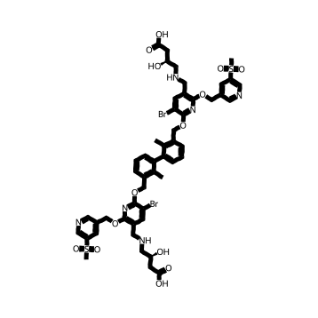 Cc1c(COc2nc(OCc3cncc(S(C)(=O)=O)c3)c(CNC[C@@H](O)CC(=O)O)cc2Br)cccc1-c1cccc(COc2nc(OCc3cncc(S(C)(=O)=O)c3)c(CNC[C@@H](O)CC(=O)O)cc2Br)c1C